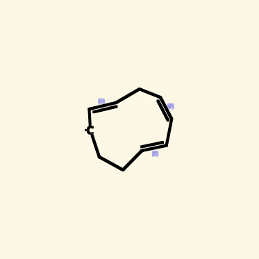 [CH]1/C=C/C/C=C\C=C\CC1